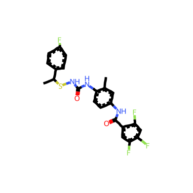 Cc1cc(NC(=O)c2cc(F)c(F)cc2F)ccc1NC(=O)NSC(C)c1ccc(F)cc1